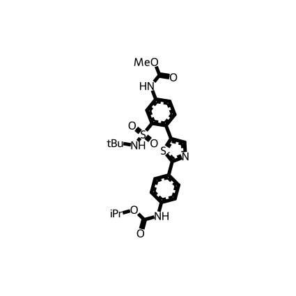 COC(=O)Nc1ccc(-c2cnc(-c3ccc(NC(=O)OC(C)C)cc3)s2)c(S(=O)(=O)NC(C)(C)C)c1